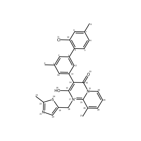 Cc1cc(-c2ccc(C)cc2Cl)cc(-c2c(O)[n+](Cc3cnc(C)s3)c3c(C)cccn3c2=O)c1